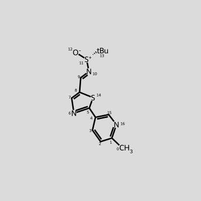 Cc1ccc(-c2ncc(C=N[S@+]([O-])C(C)(C)C)s2)cn1